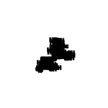 CCC(OC(O)C(O)C(OC(O)C(O)C(O)C(C)O)C(CC)OC(C)=O)C(O)C(OC1OC(C)C(OC2OCC(O)C(OC3OC(CO)C(O)C(O)C3O)C2O)C(O)C1O)C(O)OC(=O)[C@@]1(O)C[C@]2(C)C(=CCC3[C@@]4(C)CC[C@H](OC(CO)(OC(O)/C(O)=C(/O)C(O)CCO)C(OC(O)C(O)C(O)C(C)O)C(O)CC(=O)NCCn5nnc6cccnc65)[C@@](C)(C=O)C4CC[C@]32C)C2CC(C)(C)CCC21